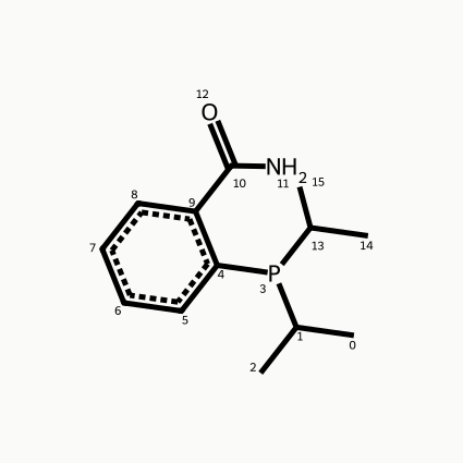 CC(C)P(c1ccccc1C(N)=O)C(C)C